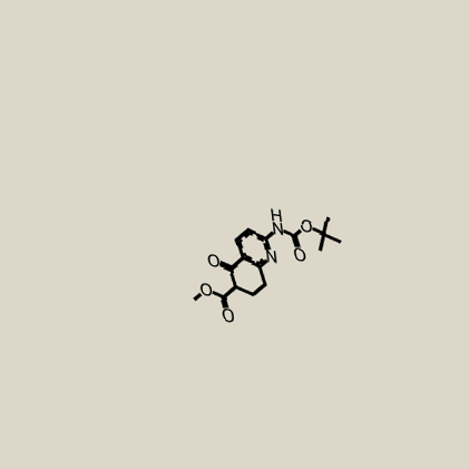 COC(=O)C1CCc2nc(NC(=O)OC(C)(C)C)ccc2C1=O